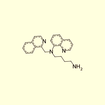 NCCCCN(Cc1nccc2ccccc12)c1cccc2cccnc12